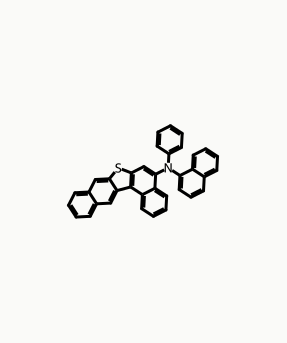 c1ccc(N(c2cccc3ccccc23)c2cc3sc4cc5ccccc5cc4c3c3ccccc23)cc1